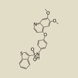 COc1cc2nccc(Oc3ccc(NS(=O)(=O)c4csc5ccccc45)cc3)c2cc1OC